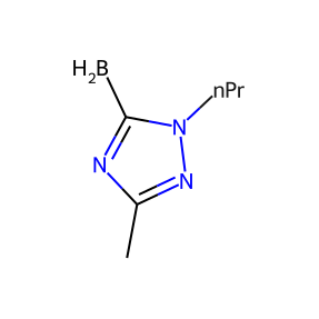 Bc1nc(C)nn1CCC